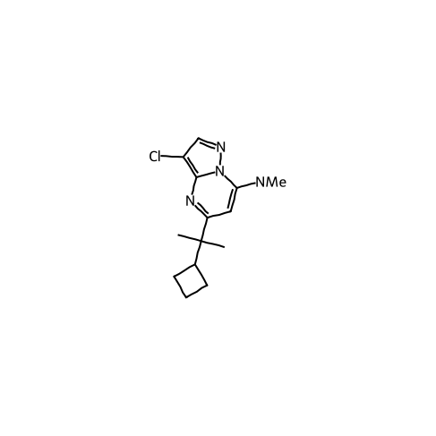 CNc1cc(C(C)(C)C2CCC2)nc2c(Cl)cnn12